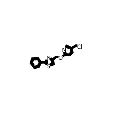 ClCc1ccc(OCc2csc(-c3ccccc3)n2)nc1